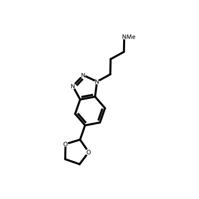 CNCCCn1nnc2cc(C3OCCO3)ccc21